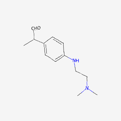 CC(C=O)c1ccc(NCCN(C)C)cc1